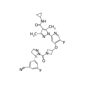 Cc1nn(-c2cc(OC3CN(C(=O)N4N=CC[C@H]4c4cc(F)cc(C#N)c4)C3)c(F)cn2)c(C)c1C(=O)NC1CC1